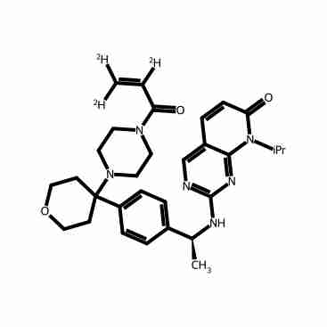 [2H]C([2H])=C([2H])C(=O)N1CCN(C2(c3ccc([C@H](C)Nc4ncc5ccc(=O)n(C(C)C)c5n4)cc3)CCOCC2)CC1